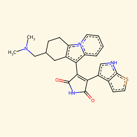 CN(C)CC1CCc2c(c(C3=C(c4c[nH]c5sccc45)C(=O)NC3=O)c3ccccn23)C1